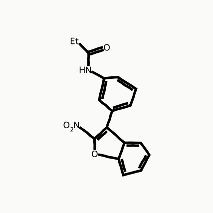 CCC(=O)Nc1cccc(-c2c([N+](=O)[O-])oc3ccccc23)c1